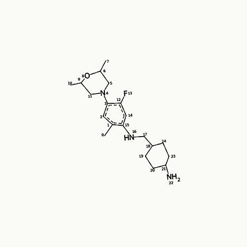 Cc1cc(N2CC(C)OC(C)C2)c(F)cc1NCC1CCC(N)CC1